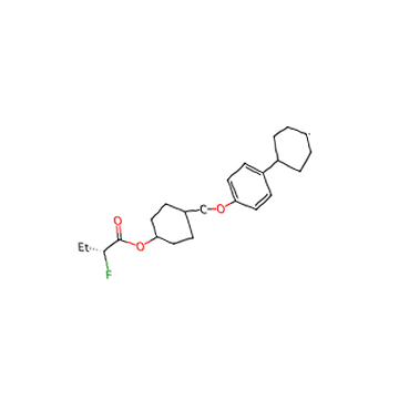 CC[C@@H](F)C(=O)OC1CCC(COc2ccc(C3CC[CH]CC3)cc2)CC1